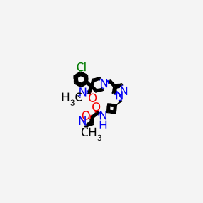 Cc1cc(C(=O)N[C@H]2C[C@H](Cn3cc(CN4CCC5(CC4)C(=O)N(C)c4ccc(Cl)cc45)cn3)C2)on1